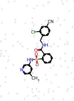 Cc1cncc(NS(=O)(=O)c2ccccc2C(=O)NCc2ccc(C#N)cc2Cl)c1